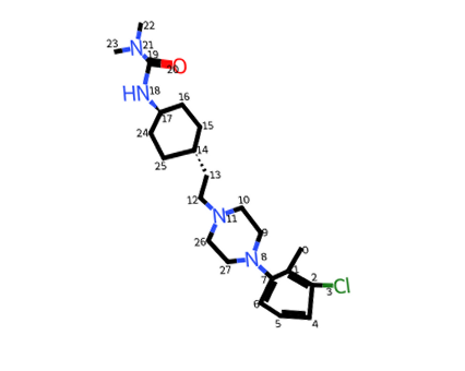 Cc1c(Cl)cccc1N1CCN(CC[C@H]2CC[C@H](NC(=O)N(C)C)CC2)CC1